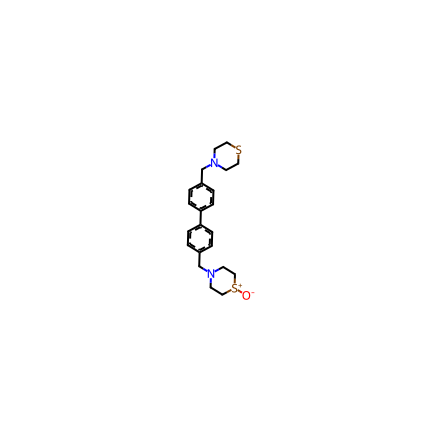 [O-][S+]1CCN(Cc2ccc(-c3ccc(CN4CCSCC4)cc3)cc2)CC1